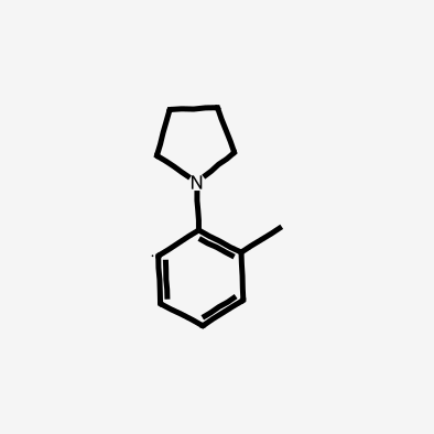 Cc1ccc[c]c1N1CCCC1